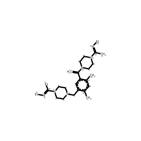 C=C(c1cc(CN2CCN(/C(CC)=N/CC)CC2)c(C)cc1C)N1CCN(/C(C)=N/CC)CC1